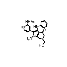 CC(=O)NC1C=C(c2c(Nc3ccccc3)c3c(n2N)CC(CO)CC3=O)C=CN1